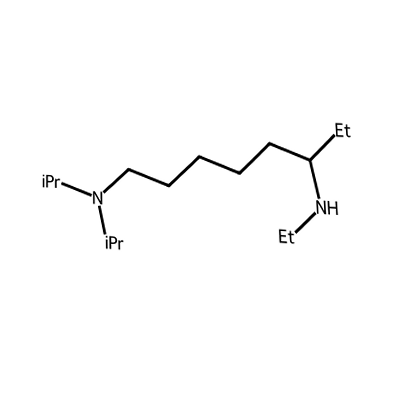 [CH2]CC(CCCCCN(C(C)C)C(C)C)NCC